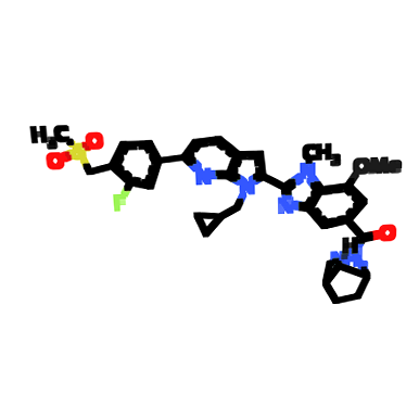 COc1cc(C(=O)N2CC3CCC2[C@@H]3N)cc2nc(-c3cc4ccc(-c5ccc(CS(C)(=O)=O)c(F)c5)nc4n3CC3CC3)n(C)c12